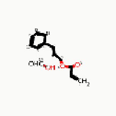 C=CC(=O)OCCCc1ccccc1.O=CO